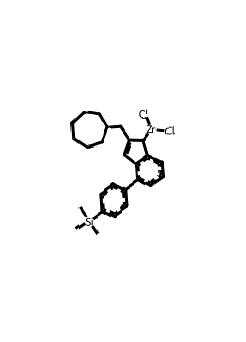 C[Si](C)(C)c1ccc(-c2cccc3c2C=C(CC2CCCCCC2)[CH]3[Zr]([Cl])[Cl])cc1